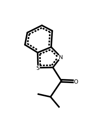 CC(C)C(=O)c1nc2ccccc2s1